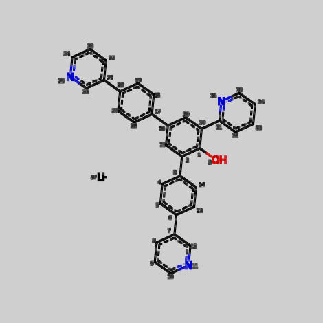 Oc1c(-c2ccc(-c3cccnc3)cc2)cc(-c2ccc(-c3cccnc3)cc2)cc1-c1ccccn1.[Li]